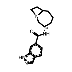 O=C(N[C@H]1CCCC2CCN2C1)c1ccc2cn[nH]c2c1